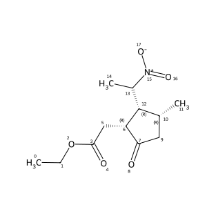 CCOC(=O)C[C@H]1C(=O)C[C@@H](C)[C@H]1C(C)[N+](=O)[O-]